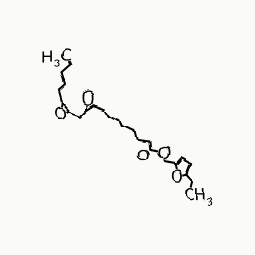 CCCCCC1OC1CC1OC1CCCCCCCC(=O)OCc1ccc(CC)o1